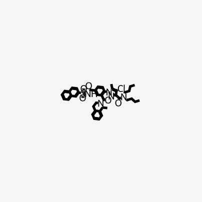 CCCCN(CCCC)C(=O)c1nn(-c2ccc(C(=O)NS(=O)(=O)c3ccc4ccccc4c3)cc2C(=O)N2CCc3ccccc3C2C)c(C)c1Cl